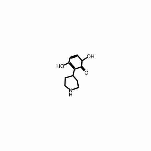 O=C1C(C2CCNCC2)=C(O)C=CC1O